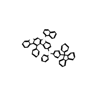 c1ccc(-c2c3c(cc4c2c2cc(N(c5ccccc5)c5ccc(C6(c7ccccc7)c7ccccc7-c7ccccc76)cc5)ccc2n4-c2cccc4ccccc24)oc2ccccc23)cc1